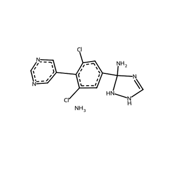 N.NC1(c2cc(Cl)c(-c3cncnc3)c(Cl)c2)N=CNN1